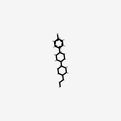 CCCC1CCC(C2CCC(c3ccc(C)cc3)CC2)CC1